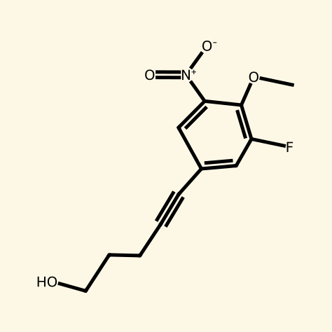 COc1c(F)cc(C#CCCCO)cc1[N+](=O)[O-]